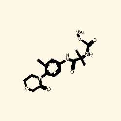 Cc1cc(NC(=O)C(C)(C)NC(=O)OC(C)(C)C)ccc1N1CCOCC1=O